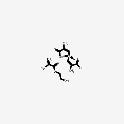 C=C(C)C(=O)OCCO.CC(=[CH][Ti](=[O])(=[O])[CH]=C(C)C(=O)O)C(=O)O